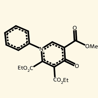 CCOC(=O)c1c(C(=O)OCC)n(-c2ccccc2)cc(C(=O)OC)c1=O